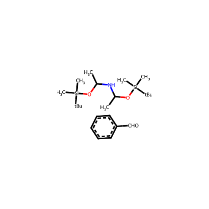 CC(NC(C)O[Si](C)(C)C(C)(C)C)O[Si](C)(C)C(C)(C)C.O=Cc1ccccc1